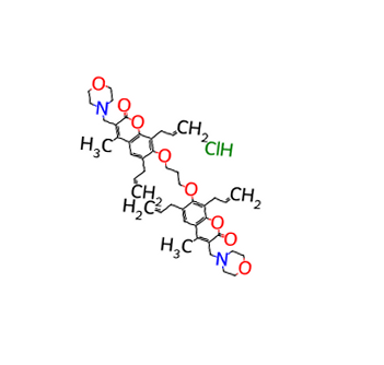 C=CCc1cc2c(C)c(CN3CCOCC3)c(=O)oc2c(CC=C)c1OCCCOc1c(CC=C)cc2c(C)c(CN3CCOCC3)c(=O)oc2c1CC=C.Cl